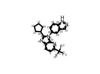 FC(F)(F)c1ccc2nc(C3CCCC3)n(-c3ccc4[nH]ncc4c3)c2n1